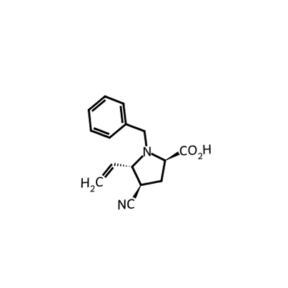 C=C[C@H]1[C@H](C#N)C[C@H](C(=O)O)N1Cc1ccccc1